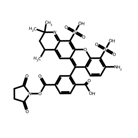 CC1CC(C)(C)N=c2c1cc1c(c2S(=O)(=O)O)Oc2c(ccc(N)c2S(=O)(=O)O)C=1c1cc(C(=O)ON2C(=O)CCC2=O)ccc1C(=O)O